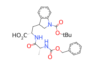 C[C@@H](NC(=O)OCc1ccccc1)C(=O)N[C@@H](CC1CN(C(=O)OC(C)(C)C)c2ccccc21)C(=O)O